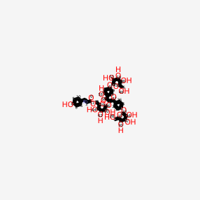 O=C(/C=C/c1ccc(O)cc1)OCC1O[C@@H](Oc2c(-c3ccc(O[C@@H]4OC(CO)[C@@H](O)C(O)C4O)cc3)oc3cc(O[C@@H]4OC(CO)[C@@H](O)C(O)[C@@H]4O)cc(O)c3c2=O)C(O)C(O)[C@@H]1O